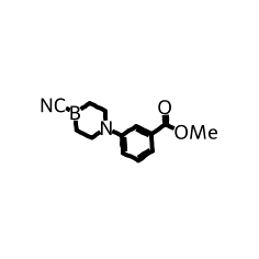 COC(=O)c1cccc(N2CCB(C#N)CC2)c1